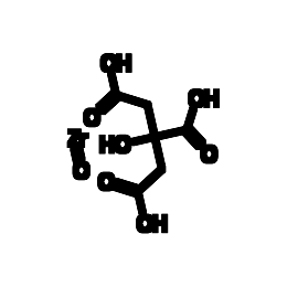 O=C(O)CC(O)(CC(=O)O)C(=O)O.[O]=[Zr]